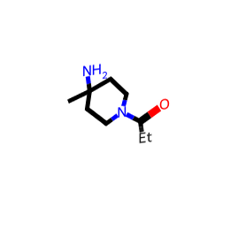 CCC(=O)N1CCC(C)(N)CC1